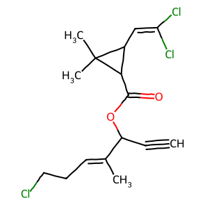 C#CC(OC(=O)C1C(C=C(Cl)Cl)C1(C)C)C(C)=CCCCl